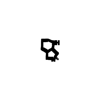 C1=CNC2=C[N+]=CC2=C1